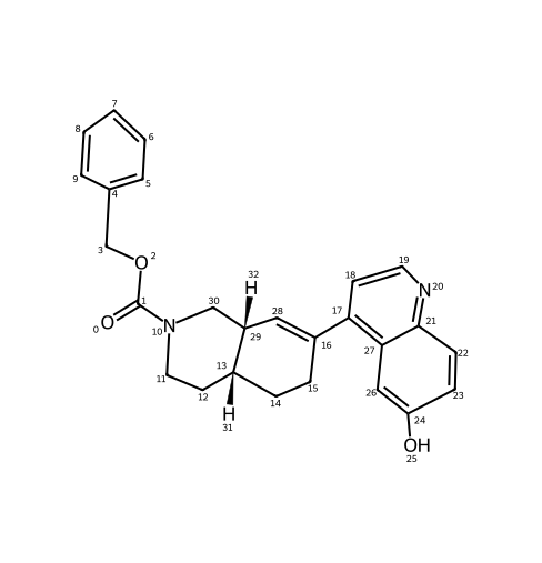 O=C(OCc1ccccc1)N1CC[C@H]2CCC(c3ccnc4ccc(O)cc34)=C[C@H]2C1